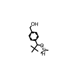 C[SiH](C)OC(c1ccc(CO)cc1)C(C)(C)C